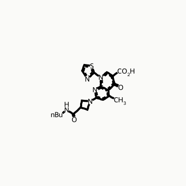 CCCCNC(=O)C1CN(c2cc(C)c3c(=O)c(C(=O)O)cn(-c4nccs4)c3n2)C1